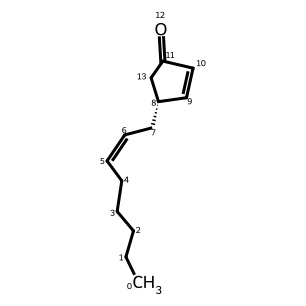 CCCCC/C=C\C[C@H]1C=CC(=O)C1